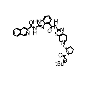 CC(C)(C)OC(=O)N1CCC[C@H]1CN1CCc2nc(NC(=O)c3cccc4[nH]c(NC(=O)c5cc6ccccc6cn5)nc34)sc2C1